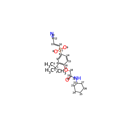 CC(C)(C)c1cc(S(=O)(=O)C=CC#N)ccc1OCC(=O)NC1CCCCC1